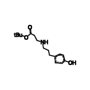 CC(C)(C)OC(=O)CCNCCCc1ccc(O)cc1